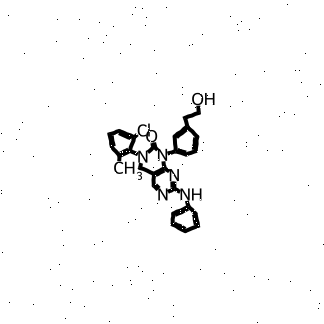 Cc1cccc(Cl)c1N1Cc2cnc(Nc3ccccc3)nc2N(c2cccc(CCO)c2)C1=O